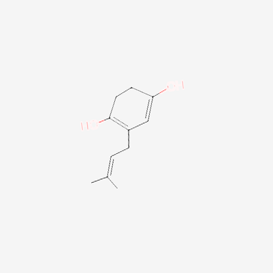 CC(C)=CCC1=C(O)CCC(O)=C1